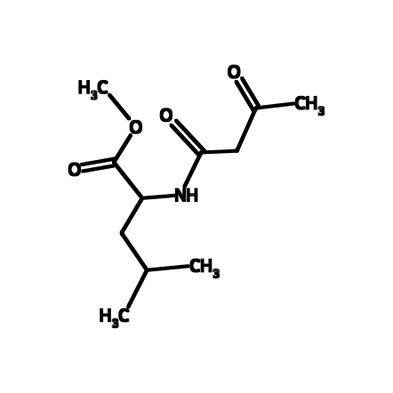 COC(=O)C(CC(C)C)NC(=O)CC(C)=O